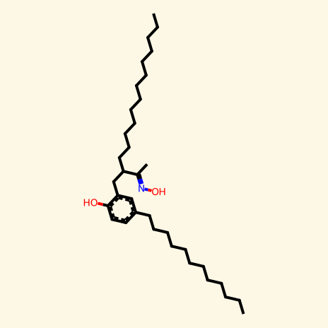 CCCCCCCCCCCCCC(Cc1cc(CCCCCCCCCCCC)ccc1O)C(C)=NO